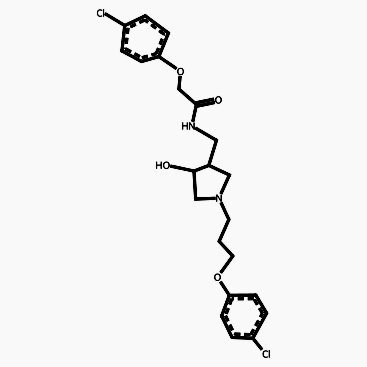 O=C(COc1ccc(Cl)cc1)NCC1CN(CCCOc2ccc(Cl)cc2)CC1O